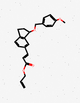 C=CCOC(=O)C=Cc1ccc2c(c1)C(OCc1ccc(OC)cc1)CC2